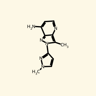 Cc1c2nccc(N)c2nn1-c1ccn(C)n1